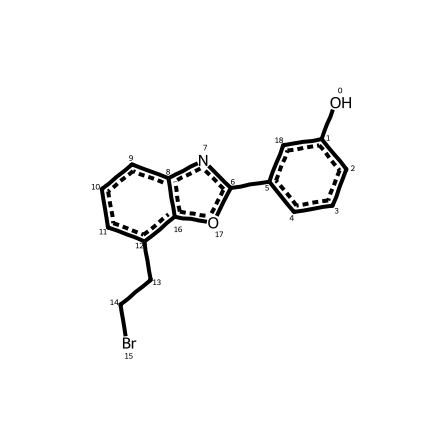 Oc1cccc(-c2nc3cccc(CCBr)c3o2)c1